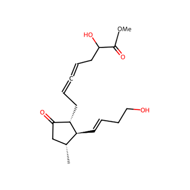 COC(=O)C(O)CC=C=CC[C@H]1C(=O)C[C@@H](C)[C@@H]1/C=C/CCO